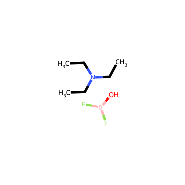 CCN(CC)CC.OB(F)F